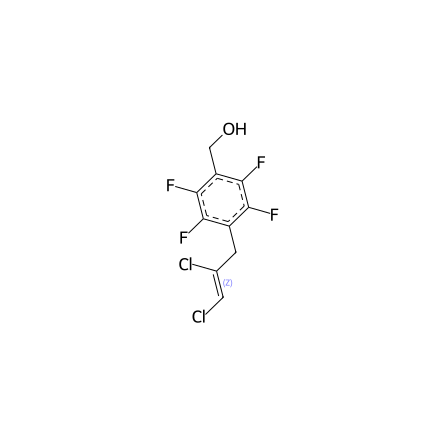 OCc1c(F)c(F)c(C/C(Cl)=C/Cl)c(F)c1F